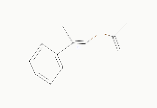 C=C(C)S/C=C(\C)c1ccccc1